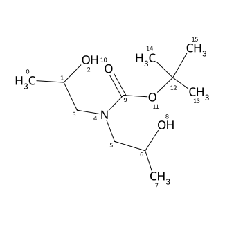 CC(O)CN(CC(C)O)C(=O)OC(C)(C)C